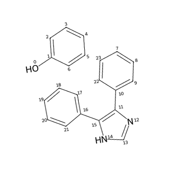 Oc1ccccc1.c1ccc(-c2nc[nH]c2-c2ccccc2)cc1